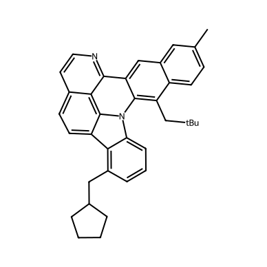 Cc1ccc2c(CC(C)(C)C)c3c(cc2c1)c1nccc2ccc4c5c(CC6CCCC6)cccc5n3c4c21